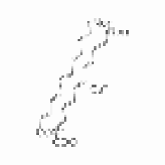 CCCCCCCCC/C=C/C=C/C=C/C=C/C=C/C(=O)[O-].CCCCCCCCC/C=C/C=C/C=C/C=C/C=C/C(=O)[O-].[Ca+2]